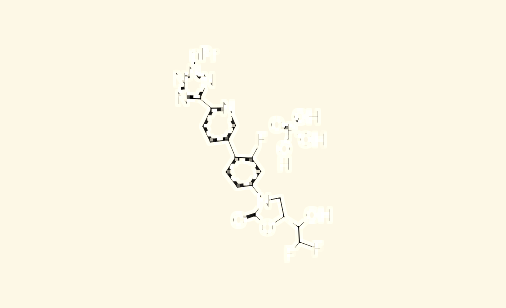 CCCn1nnc(-c2ccc(-c3ccc(N4C[C@@H](C(O)C(F)F)OC4=O)cc3F)cn2)n1.O=P(O)(O)O